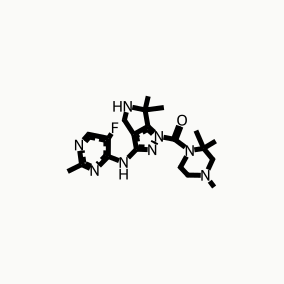 Cc1ncc(F)c(Nc2nn(C(=O)N3CCN(C)CC3(C)C)c3c2CNC3(C)C)n1